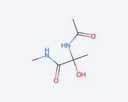 CNC(=O)C(C)(O)NC(C)=O